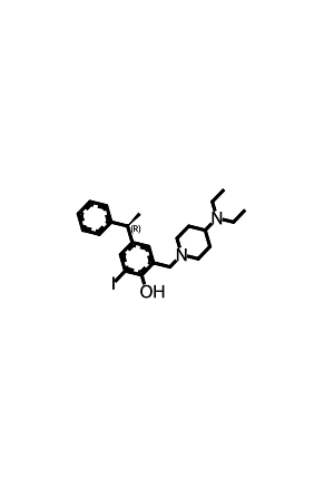 CCN(CC)C1CCN(Cc2cc([C@H](C)c3ccccc3)cc(I)c2O)CC1